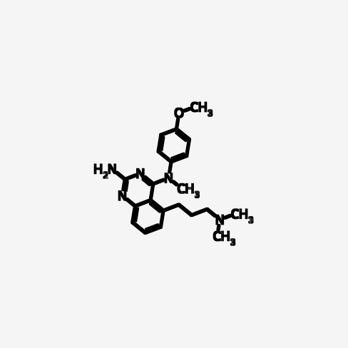 COc1ccc(N(C)c2nc(N)nc3cccc(CCCN(C)C)c23)cc1